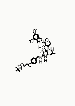 CCC(NC(=O)[C@H](CC(C)C)NC(=O)NCc1ccc(OCCO[Si](C)(C)C(C)(C)C)cc1)C(O)C(=O)NCc1cc(OC)cc(OC)c1